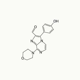 O=Cc1nc2c(N3CCOCC3)nccn2c1-c1ccc(O)cc1